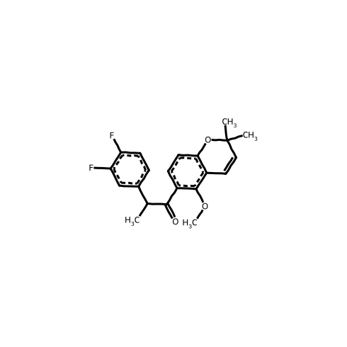 COc1c(C(=O)C(C)c2ccc(F)c(F)c2)ccc2c1C=CC(C)(C)O2